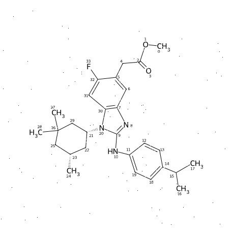 COC(=O)Cc1cc2nc(Nc3ccc(C(C)C)cc3)n([C@@H]3C[C@H](C)CC(C)(C)C3)c2cc1F